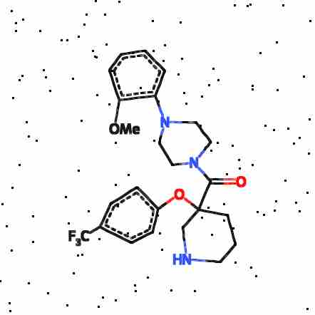 COc1ccccc1N1CCN(C(=O)C2(Oc3ccc(C(F)(F)F)cc3)CCCNC2)CC1